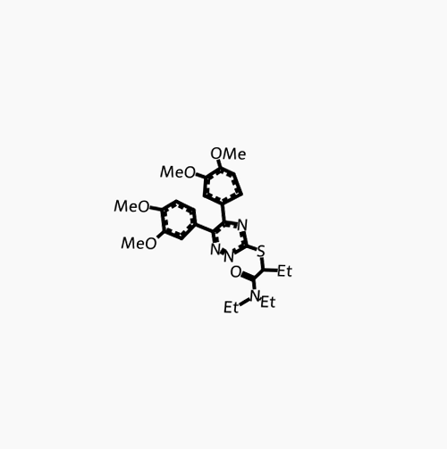 CCC(Sc1nnc(-c2ccc(OC)c(OC)c2)c(-c2ccc(OC)c(OC)c2)n1)C(=O)N(CC)CC